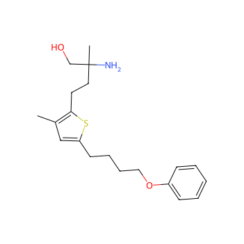 Cc1cc(CCCCOc2ccccc2)sc1CCC(C)(N)CO